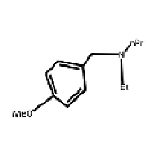 CCCN(CC)Cc1ccc(OC)cc1